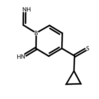 N=CB1C=CC(C(=S)C2CC2)=CC1=N